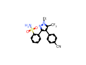 CCn1nc(-c2ccccc2S(N)(=O)=O)c(-c2ccc(C#N)cc2)c1C(F)(F)F